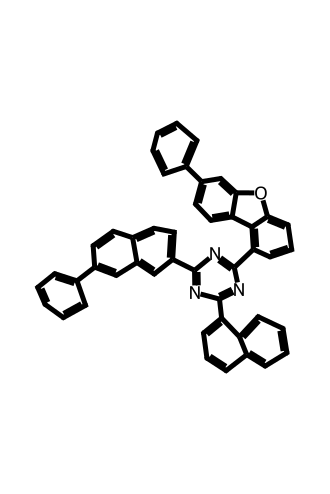 c1ccc(-c2ccc3ccc(-c4nc(-c5cccc6ccccc56)nc(-c5cccc6oc7cc(-c8ccccc8)ccc7c56)n4)cc3c2)cc1